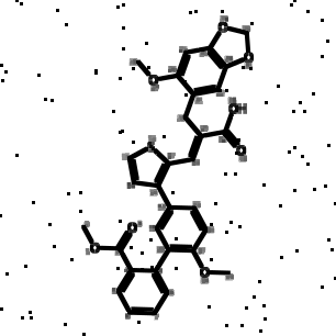 COC(=O)c1ccccc1-c1cc(-c2ccsc2/C=C(\Cc2cc3c(cc2OC)OCO3)C(=O)O)ccc1OC